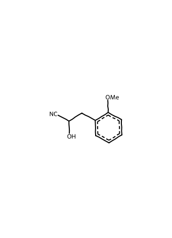 COc1ccccc1CC(O)C#N